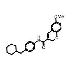 COc1ccc2c(c1)C=C(C(=O)Nc1ccc([CH]C3CCCCC3)cc1)CO2